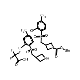 CC(C)(C)OC(=O)N1CC(CS(=O)(=O)c2ccc(C(F)(F)F)cc2Cl)C1.O=C(O)C(F)(F)F.O=S(=O)(CC1CNC1)c1ccc(C(F)(F)F)cc1Cl